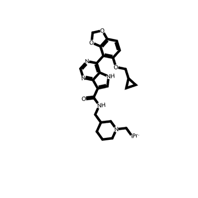 C[C](C)CN1CCCC(CNC(=O)c2c[nH]c3c(-c4c(OCC5CC5)ccc5c4OCO5)ncnc23)C1